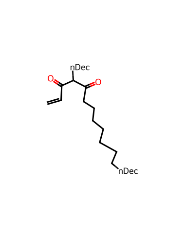 C=CC(=O)C(CCCCCCCCCC)C(=O)CCCCCCCCCCCCCCCCC